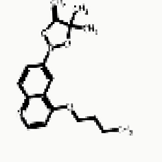 C=C1OB(c2ccc3nccc(OCCCC)c3c2)OC1(C)C